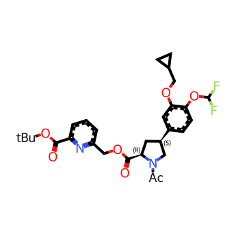 CC(=O)N1C[C@H](c2ccc(OC(F)F)c(OCC3CC3)c2)C[C@@H]1C(=O)OCc1cccc(C(=O)OC(C)(C)C)n1